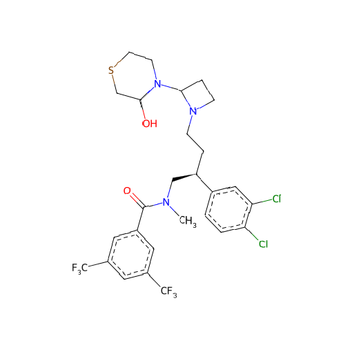 CN(C[C@@H](CCN1CCC1N1CCSCC1O)c1ccc(Cl)c(Cl)c1)C(=O)c1cc(C(F)(F)F)cc(C(F)(F)F)c1